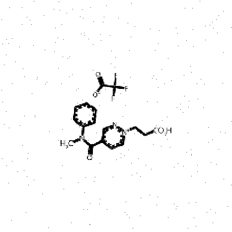 CN(C(=O)c1cc[n+](CCC(=O)O)nc1)c1ccccc1.O=C([O-])C(F)(F)F